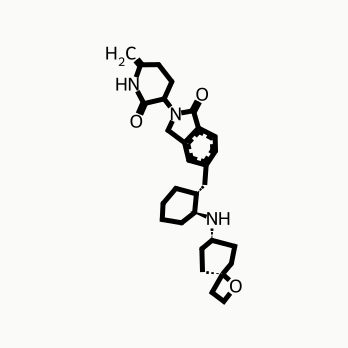 C=C1CCC(N2Cc3cc(C[C@H]4CCCC[C@@H]4N[C@H]4CC[C@]5(CCO5)CC4)ccc3C2=O)C(=O)N1